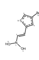 ON(O)C=Cc1cc(Br)cs1